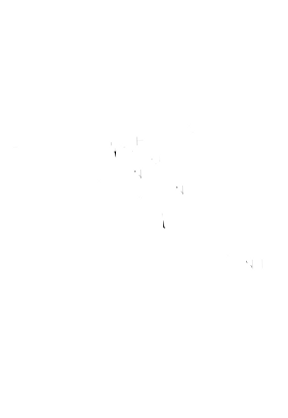 Nc1ccc(C[C@H](NC(=O)CCl)C(=O)N[C@@H](Cc2ccc(F)cc2)C(=O)O)cc1